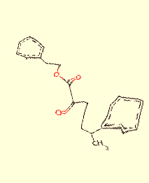 CC(CCC(=O)C(=O)OCc1ccccc1)c1ccccc1